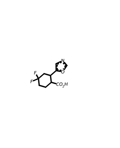 O=C(O)C1CCC(F)(F)CC1c1cnco1